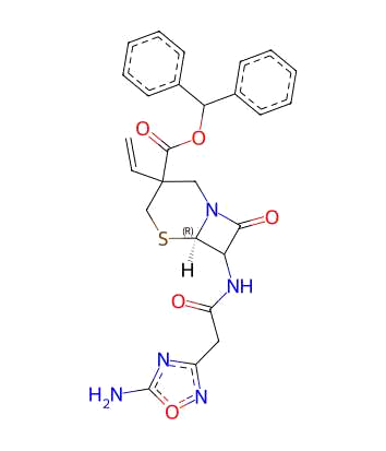 C=CC1(C(=O)OC(c2ccccc2)c2ccccc2)CS[C@@H]2C(NC(=O)Cc3noc(N)n3)C(=O)N2C1